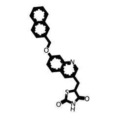 O=C1NC(=O)C(Cc2cnc3cc(OCc4ccc5ccccc5c4)ccc3c2)S1